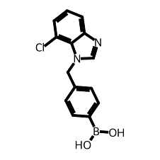 OB(O)c1ccc(Cn2cnc3cccc(Cl)c32)cc1